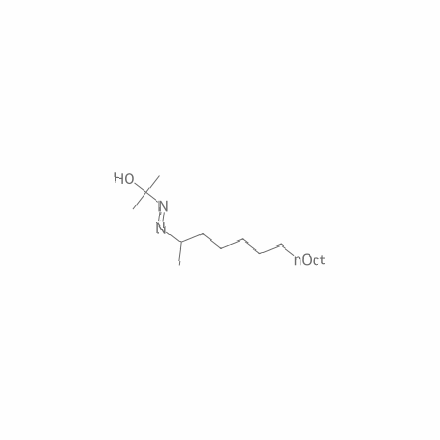 CCCCCCCCCCCCCC(C)/N=N/C(C)(C)O